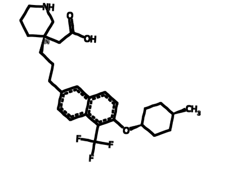 C[C@H]1CC[C@@H](Oc2ccc3cc(CCC[C@@]4(CC(=O)O)CCCNC4)ccc3c2C(F)(F)F)CC1